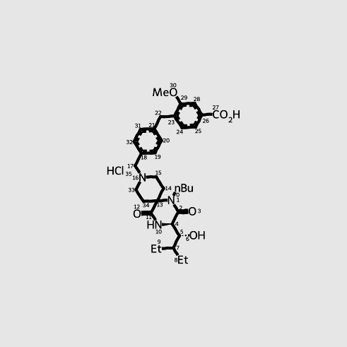 CCCCN1C(=O)[C@@H]([C@H](O)C(CC)CC)NC(=O)C12CCN(Cc1ccc(Cc3ccc(C(=O)O)cc3OC)cc1)CC2.Cl